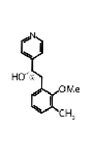 COc1c(C)cccc1C[C@H](O)c1ccncc1